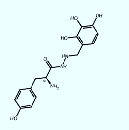 N[C@@H](Cc1ccc(O)cc1)C(=O)NNCc1ccc(O)c(O)c1O